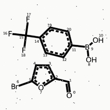 O=Cc1ccc(Br)o1.OB(O)c1ccc(C(F)(F)F)cc1